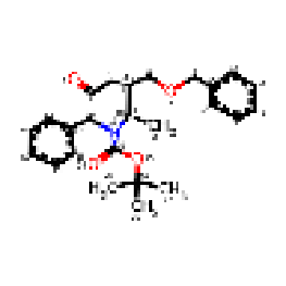 C[C@H]([C@@H](CC=O)COCc1ccccc1)N(Cc1ccccc1)C(=O)OC(C)(C)C